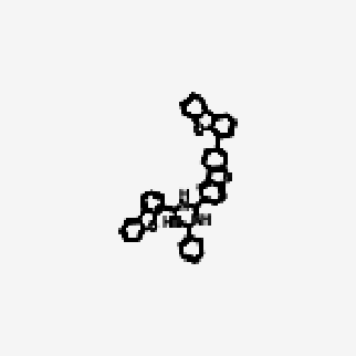 c1ccc(C2NC(c3ccc4oc5cc(-c6cccc7c6oc6ccccc67)ccc5c4c3)NC(c3cccc4c3oc3ccccc34)N2)cc1